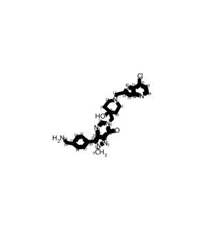 Cn1nc2c(=O)n(CC3(O)CCN(Cc4cc5nccc(Cl)c5s4)CC3)cnc2c1-c1ccc(CN)cc1